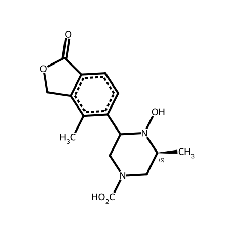 Cc1c(C2CN(C(=O)O)C[C@H](C)N2O)ccc2c1COC2=O